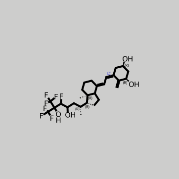 C=C1/C(=C\C=C2CCC[C@@]3(C)C2CC[C@@H]3[C@H](C)CC(O)C(F)C(O)(C(F)(F)F)C(F)(F)F)C[C@@H](O)C[C@H]1O